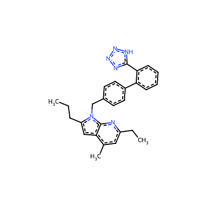 CCCc1cc2c(C)cc(CC)nc2n1Cc1ccc(-c2ccccc2-c2nnn[nH]2)cc1